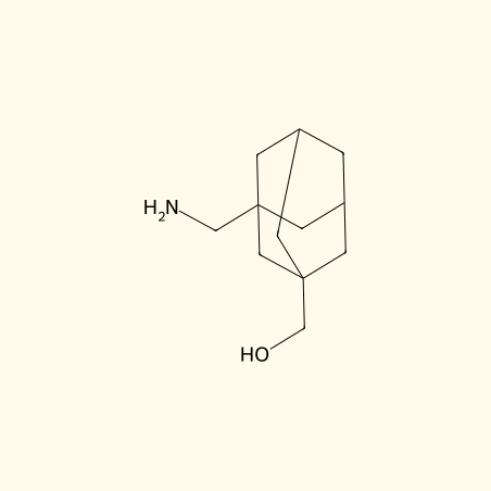 NCC12CC3CC(C1)CC(CO)(C3)C2